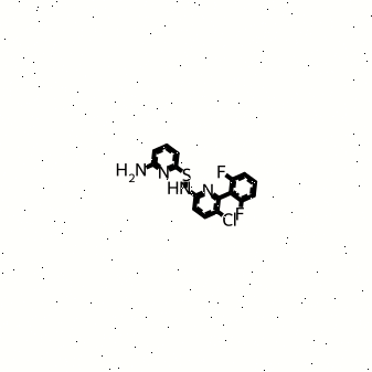 Nc1cccc(SNc2ccc(Cl)c(-c3c(F)cccc3F)n2)n1